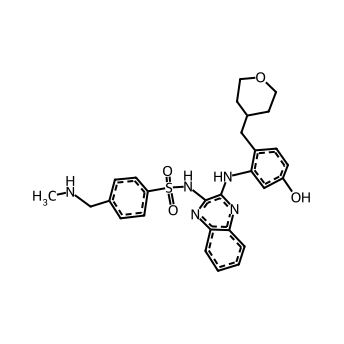 CNCc1ccc(S(=O)(=O)Nc2nc3ccccc3nc2Nc2cc(O)ccc2CC2CCOCC2)cc1